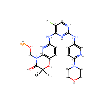 CC1(C)Oc2ccc(Nc3nc(Nc4ccc(N5CCOCC5)nc4)ncc3F)nc2N(COP)C1=O